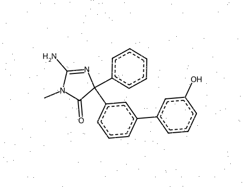 CN1C(=O)C(c2ccccc2)(c2cccc(-c3cccc(O)c3)c2)N=C1N